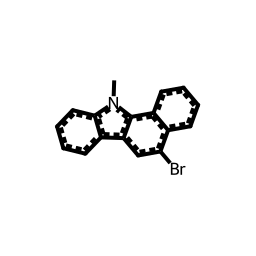 Cn1c2ccccc2c2cc(Br)c3ccccc3c21